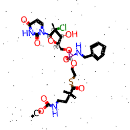 CCOC(=O)NCCC(C)(C)C(=O)SCCO[P@@](=O)(NCc1ccccc1)OC[C@H]1O[C@@H](n2ccc(=O)[nH]c2=O)[C@](C)(Cl)[C@@H]1O